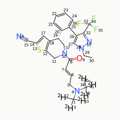 [2H]C([2H])([2H])N(C/C=C/C(=O)N1Cc2sc(C#N)cc2[C@H](c2ccccc2-c2cn(CC)nc2C(F)(F)F)C1)C([2H])([2H])[2H]